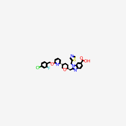 O=C(O)c1ccc2nc(C[C@@H]3CC[C@@H](c4cccc(OCc5ccc(Cl)cc5F)n4)CO3)n(Cc3cncs3)c2c1